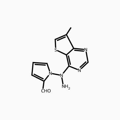 Cc1csc2c(N(N)n3cccc3C=O)ncnc12